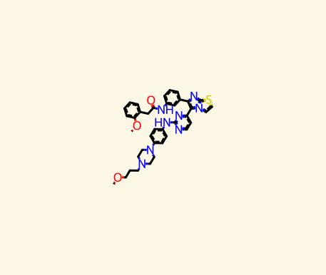 COCCCN1CCN(c2ccc(Nc3nccc(-c4c(-c5cccc(NC(=O)Cc6ccccc6OC)c5)nc5sccn45)n3)cc2)CC1